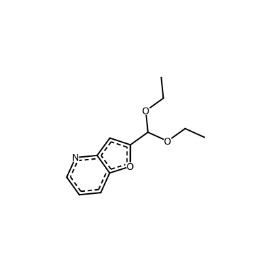 CCOC(OCC)c1cc2ncccc2o1